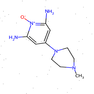 CN1CCN(c2cc(N)[n+]([O-])c(N)c2)CC1